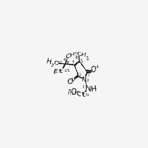 CCCCCCCCNN1C(=O)C(C)C(C(C)(C)CC)C1=O